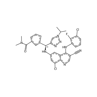 CC(C)n1cc([C@@H](Nc2cc(Cl)c3ncc(C#N)c(Nc4cccc(Cl)c4F)c3c2)c2cccc(C(=O)N(C)C)c2)nn1